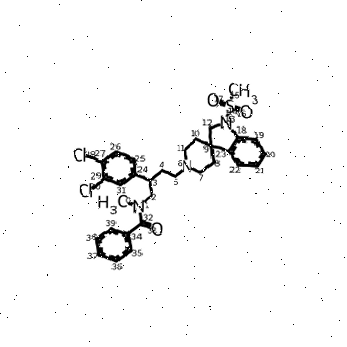 CN(CC(CCN1CCC2(CC1)CN(S(C)(=O)=O)c1ccccc12)c1ccc(Cl)c(Cl)c1)C(=O)c1ccccc1